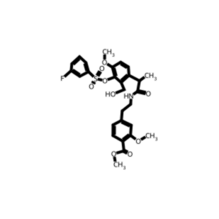 COC(=O)c1ccc(CCNC(=O)C(C)c2ccc(OC)c(OS(=O)(=O)c3cccc(F)c3)c2CO)cc1OC